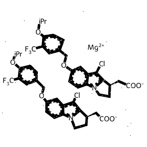 CC(C)Oc1ccc(COc2ccc3c(c2)c(Cl)c2n3CC[C@@H]2CC(=O)[O-])cc1C(F)(F)F.CC(C)Oc1ccc(COc2ccc3c(c2)c(Cl)c2n3CC[C@@H]2CC(=O)[O-])cc1C(F)(F)F.[Mg+2]